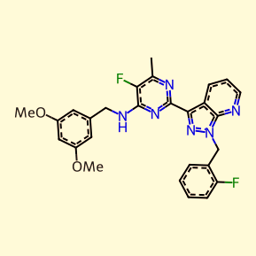 COc1cc(CNc2nc(-c3nn(Cc4ccccc4F)c4ncccc34)nc(C)c2F)cc(OC)c1